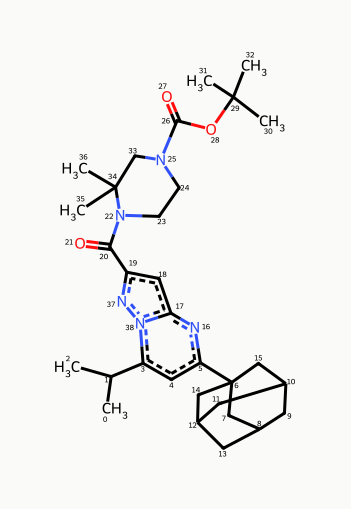 CC(C)c1cc(C23CC4CC(CC(C4)C2)C3)nc2cc(C(=O)N3CCN(C(=O)OC(C)(C)C)CC3(C)C)nn12